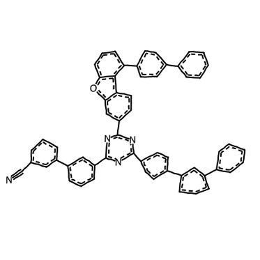 N#Cc1cccc(-c2cccc(-c3nc(-c4ccc(-c5cccc(-c6ccccc6)c5)cc4)nc(-c4ccc5c(c4)oc4cccc(-c6ccc(-c7ccccc7)cc6)c45)n3)c2)c1